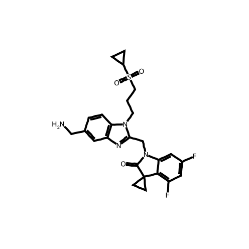 NCc1ccc2c(c1)nc(CN1C(=O)C3(CC3)c3c(F)cc(F)cc31)n2CCCS(=O)(=O)C1CC1